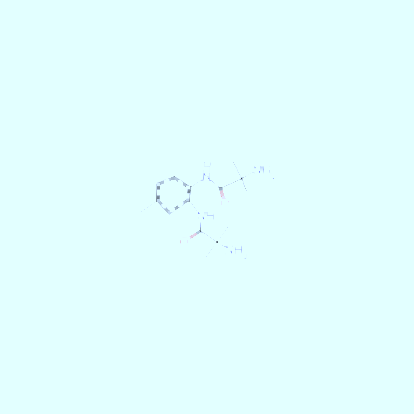 Cc1ccc(NC(=O)C(C)(C)N)c(NC(=O)C(C)(C)N)c1